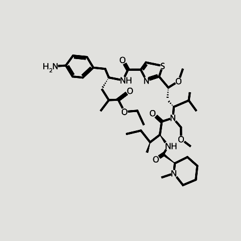 CCOC(=O)C(C)C[C@H](Cc1ccc(N)cc1)NC(=O)c1csc([C@@H](C[C@H](C(C)C)N(COC)C(=O)[C@@H](NC(=O)[C@H]2CCCCN2C)[C@@H](C)CC)OC)n1